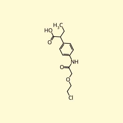 CCC(C(=O)O)c1ccc(NC(=O)COCCCl)cc1